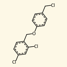 ClCc1ccc(OCc2ccc(Cl)cc2Cl)cc1